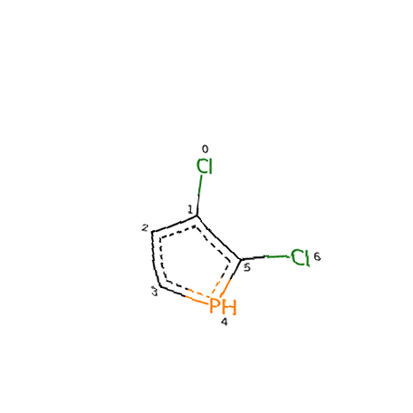 Clc1cc[pH]c1Cl